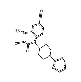 C#Cc1ccc2c(c1)n(C)c(=O)c(=O)n2C1CCN(c2ncccn2)CC1